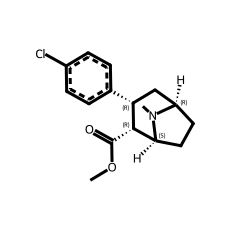 COC(=O)[C@@H]1[C@H](c2ccc(Cl)cc2)C[C@H]2CC[C@@H]1N2C